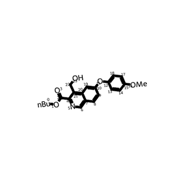 CCCCOC(=O)c1ncc2ccc(Oc3ccc(OC)cc3)cc2c1CO